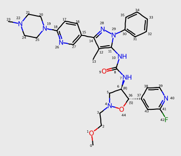 COCCN1C[C@@H](NC(=O)Nc2c(C)c(-c3ccc(N4CCN(C)CC4)nc3)nn2-c2ccccc2)[C@H](c2ccnc(F)c2)O1